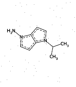 CC(C)n1ccc2c1ccn2N